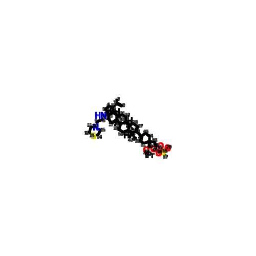 C=C(C)[C@@H]1CC[C@]2(NCCN3CCSCC3)CC[C@]3(C)[C@H](CC[C@@H]4[C@@]5(C)CC=C(C6=CCC(CCOS(C)(=O)=O)(C(=O)OC(C)C)CC6)C(C)(C)[C@@H]5CC[C@]43C)[C@@H]12